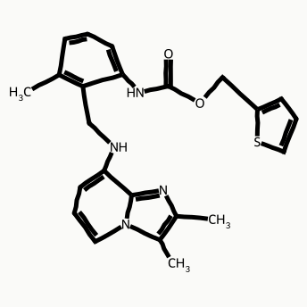 Cc1cccc(NC(=O)OCc2cccs2)c1CNc1cccn2c(C)c(C)nc12